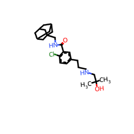 CC(C)(O)CNCCCc1ccc(Cl)c(C(=O)NCC23CC4CC(CC(C4)C2)C3)c1